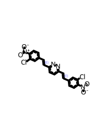 O=[N+]([O-])c1ccc(/C=C/c2ccc(/C=C/c3ccc([N+](=O)[O-])c(Cl)c3)nn2)cc1Cl